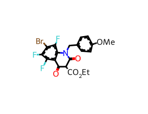 CCOC(=O)C1C(=O)c2c(F)c(F)c(Br)c(F)c2N(Cc2ccc(OC)cc2)C1=O